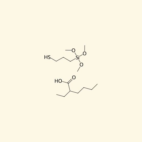 CCCCC(CC)C(=O)O.CO[Si](CCCS)(OC)OC